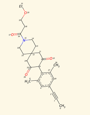 CC#Cc1cc(C)c(C2C(=O)CC3(CCN(C(=O)CCOCC)CC3)CC2=O)c(C)c1